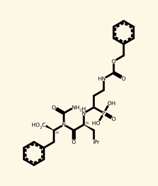 CC(C)C[C@H](NC(CCNC(=O)OCc1ccccc1)P(=O)(O)O)C(=O)N(C(N)=O)[C@@H](Cc1ccccc1)C(=O)O